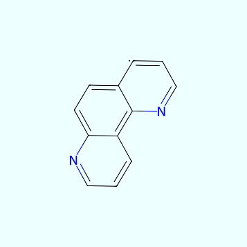 [c]1ccnc2c1ccc1ncccc12